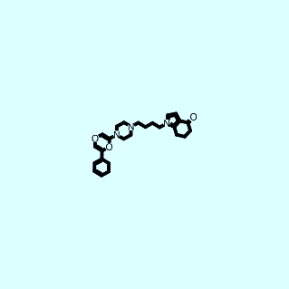 O=C1CCCc2c1ccn2CCCCN1CCN(C2=COC=C(C3=CC=CCC3)O2)CC1